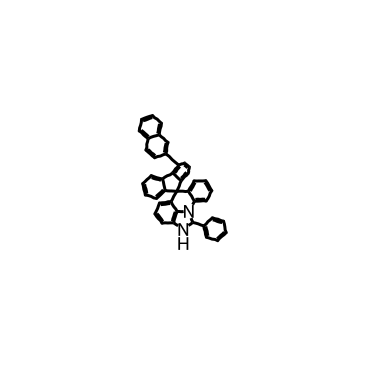 c1ccc(C2Nc3cccc4c3N2c2ccccc2C42c3ccccc3-c3c(-c4ccc5ccccc5c4)cccc32)cc1